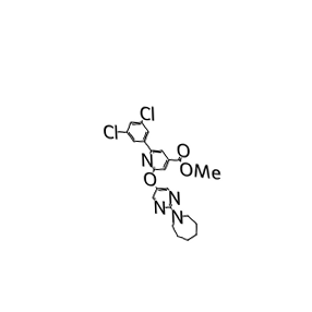 COC(=O)c1cc(Oc2cnc(N3CCCCCC3)nc2)nc(-c2cc(Cl)cc(Cl)c2)c1